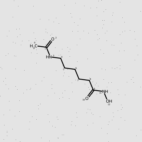 CC(=O)NCCCCCC(=O)NO